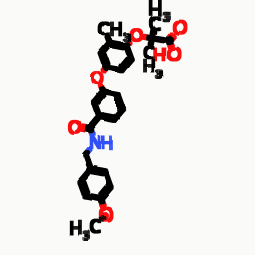 COc1ccc(CNC(=O)c2cccc(Oc3ccc(OC(C)(C)C(=O)O)c(C)c3)c2)cc1